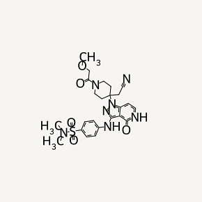 COCC(=O)N1CCC(CC#N)(n2nc(Nc3ccc(S(=O)(=O)N(C)C)cc3)c3c(=O)[nH]ccc32)CC1